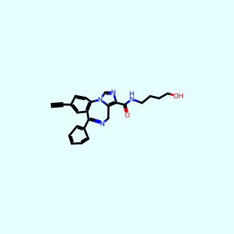 C#Cc1ccc2c(c1)C(c1ccccc1)=NCc1c(C(=O)NCCCCO)ncn1-2